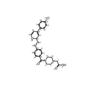 O=C(O)CN1CCN(C(=O)c2ccc(N=NC3C=C(c4ccc(Cl)cc4)C=CO3)cc2)CC1